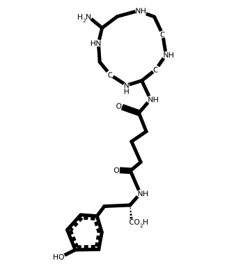 NC1CNCCNCC(NC(=O)CCCC(=O)N[C@@H](Cc2ccc(O)cc2)C(=O)O)NCCN1